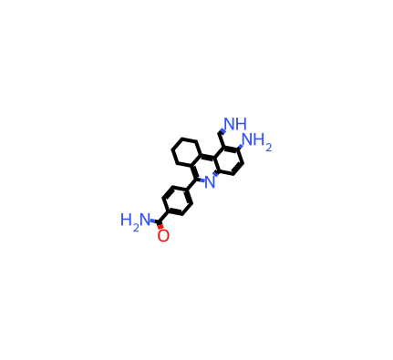 N=Cc1c(N)ccc2nc(-c3ccc(C(N)=O)cc3)c3c(c12)CCCC3